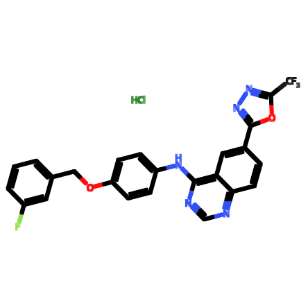 Cl.Fc1cccc(COc2ccc(Nc3ncnc4ccc(-c5nnc(C(F)(F)F)o5)cc34)cc2)c1